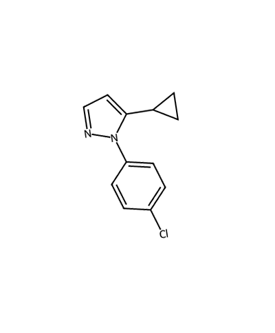 Clc1ccc(-n2nccc2C2CC2)cc1